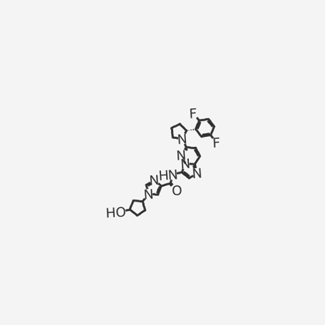 O=C(Nc1cnc2ccc(N3CCC[C@@H]3c3cc(F)ccc3F)nn12)c1cn(C2CCC(O)C2)cn1